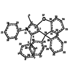 Cc1c2c(c(-c3ccccc3)n1-c1ccccc1)C(c1ccccc1)(c1ccccc1)c1ccccc1O2